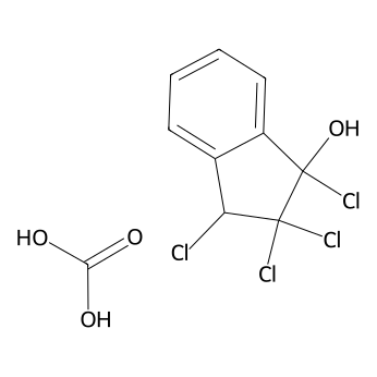 O=C(O)O.OC1(Cl)c2ccccc2C(Cl)C1(Cl)Cl